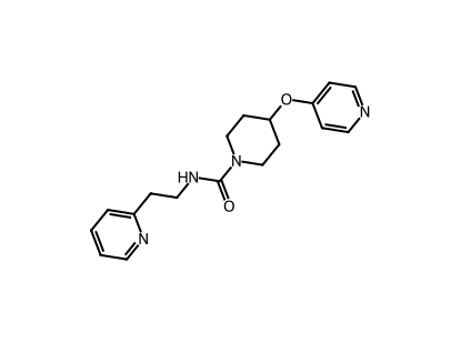 O=C(NCCc1ccccn1)N1CCC(Oc2ccncc2)CC1